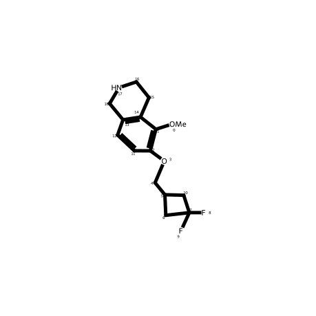 COc1c(OCC2CC(F)(F)C2)ccc2c1CCNC2